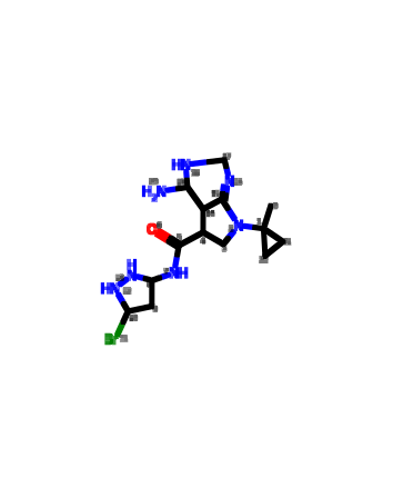 CC1(N2CC(C(=O)NC3CC(Br)NN3)C3C2=NCNC3N)CC1